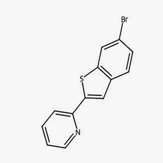 Brc1ccc2cc(-c3ccccn3)sc2c1